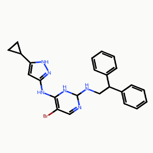 BrC1=C(Nc2cc(C3CC3)[nH]n2)NC(NCC(c2ccccc2)c2ccccc2)N=C1